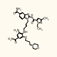 CCn1nc(C)cc1C(=O)Nc1nc2cc(C(N)=O)ccc2n1C/C=C/CNc1c(N)cc(C(N)=O)cc1OCCCN1CCOCC1